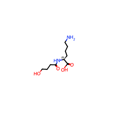 NCCCC[C@H](NC(=O)CCCO)C(=O)O